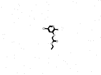 CCOC(=O)COc1cc(Cl)cnc1I